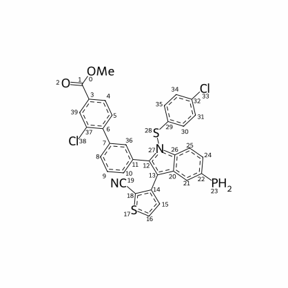 COC(=O)c1ccc(-c2cccc(-c3c(-c4ccsc4C#N)c4cc(P)ccc4n3Sc3ccc(Cl)cc3)c2)c(Cl)c1